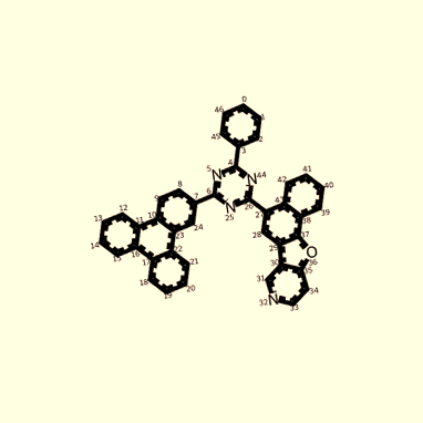 c1ccc(-c2nc(-c3ccc4c5ccccc5c5ccccc5c4c3)nc(-c3cc4c5cnccc5oc4c4ccccc34)n2)cc1